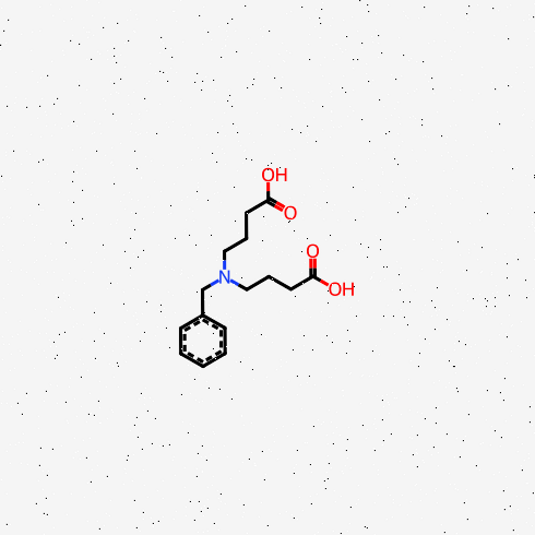 O=C(O)CCCN(CCCC(=O)O)Cc1ccccc1